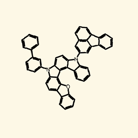 c1ccc(-c2cccc(-n3c4ccc5c6ccccc6oc5c4c4c5c6ccccc6n(-c6cc7c8c(cccc8c6)-c6ccccc6-7)c5ccc43)c2)cc1